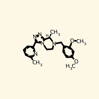 COc1ccc(CN2CCn3c(-c4cccc(C)n4)nnc3[C@H]2C)c(OC)c1